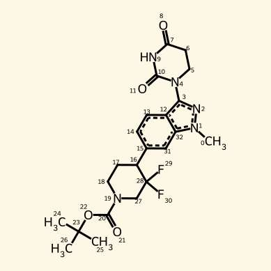 Cn1nc(N2CCC(=O)NC2=O)c2ccc(C3CCN(C(=O)OC(C)(C)C)CC3(F)F)cc21